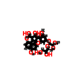 COc1ccc(C23Oc4cc(O[C@@H]5O[C@@H]([C@H](O)CO)CO[C@H]5OC)cc(OC)c4C2(O)[C@@H](O)C(C(=O)O)C3c2ccccc2)cc1